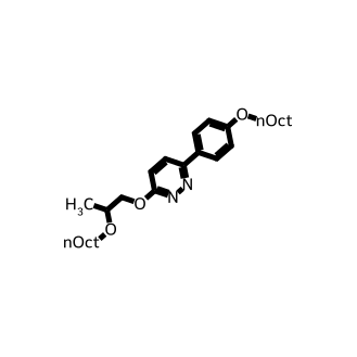 CCCCCCCCOc1ccc(-c2ccc(OCC(C)OCCCCCCCC)nn2)cc1